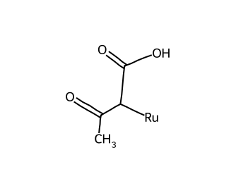 CC(=O)[CH]([Ru])C(=O)O